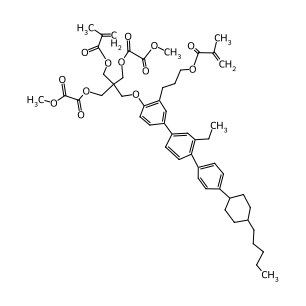 C=C(C)C(=O)OCCCc1cc(-c2ccc(-c3ccc(C4CCC(CCCCC)CC4)cc3)c(CC)c2)ccc1OCC(COC(=O)C(=C)C)(COC(=O)C(=O)OC)COC(=O)C(=O)OC